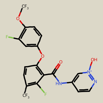 O=C(Nc1ccn[n+](O)c1)c1c(Oc2ccc(OC(F)(F)F)c(F)c2)ccc(C(F)(F)F)c1F